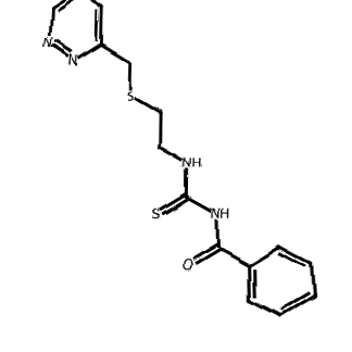 O=C(NC(=S)NCCSCc1cccnn1)c1ccccc1